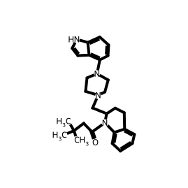 CC(C)(C)CC(=O)N1c2ccccc2CCC1CN1CCN(c2cccc3[nH]ccc23)CC1